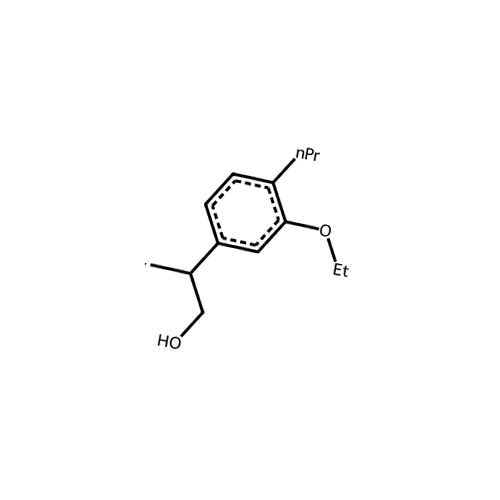 [CH2]C(CO)c1ccc(CCC)c(OCC)c1